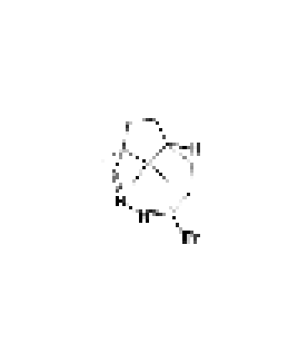 CC(C)C1=NN=C[C@@]2(C)CC[C@H](C=C1)C2(C)C